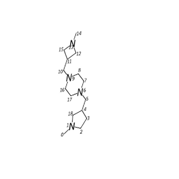 CN1CCC(CN2CCN(CC3CN(C)C3)CC2)C1